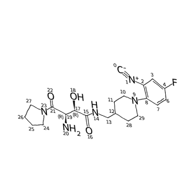 [C-]#[N+]c1cc(F)ccc1N1CCC(CNC(=O)[C@H](O)[C@@H](N)C(=O)N2CCCC2)CC1